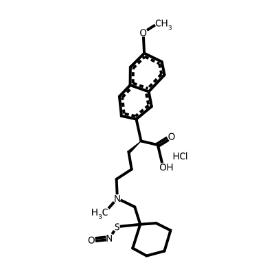 COc1ccc2cc([C@H](CCCN(C)CC3(SN=O)CCCCC3)C(=O)O)ccc2c1.Cl